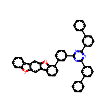 c1ccc(-c2cccc(-c3nc(-c4cccc(-c5ccccc5)c4)nc(-c4cccc(-c5cccc6c5oc5cc7c(cc56)oc5ccccc57)c4)n3)c2)cc1